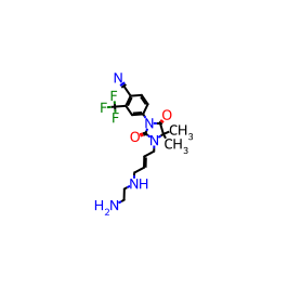 CC1(C)C(=O)N(c2ccc(C#N)c(C(F)(F)F)c2)C(=O)N1CC=CCNCCN